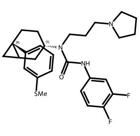 CSc1cccc([C@@]23CC[C@H](N(CCCN4CCCC4)C(=O)Nc4ccc(F)c(F)c4)CC2C3)c1